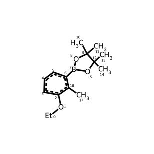 CCOc1cccc(B2OC(C)(C)C(C)(C)O2)c1C